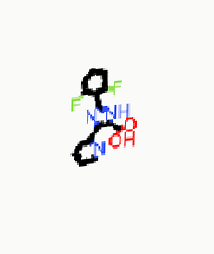 O=C(O)c1[nH]c(-c2c(F)cccc2F)nc1-c1ccccn1